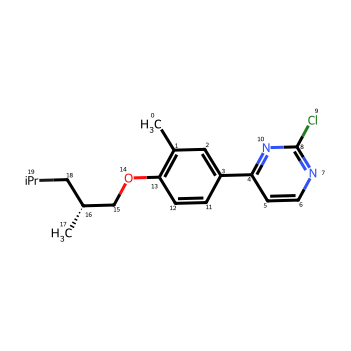 Cc1cc(-c2ccnc(Cl)n2)ccc1OC[C@H](C)CC(C)C